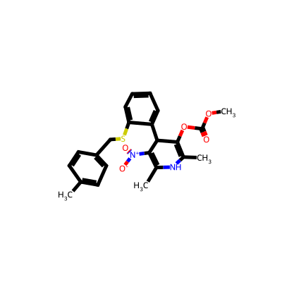 COC(=O)OC1=C(C)NC(C)=C([N+](=O)[O-])C1c1ccccc1SCc1ccc(C)cc1